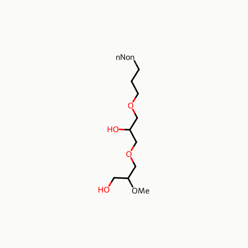 CCCCCCCCCCCCOCC(O)COCC(CO)OC